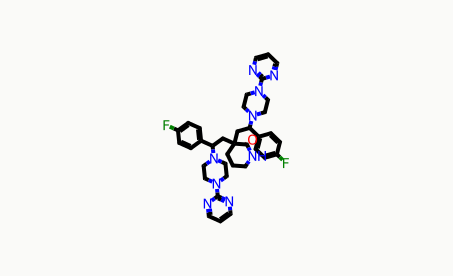 O=C1NCCCC1(CC(c1ccc(F)cc1)N1CCN(c2ncccn2)CC1)CC(c1ccc(F)cc1)N1CCN(c2ncccn2)CC1